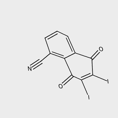 N#Cc1cccc2c1C(=O)C(I)=C(I)C2=O